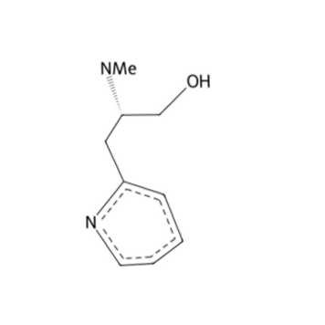 CN[C@H](CO)Cc1ccccn1